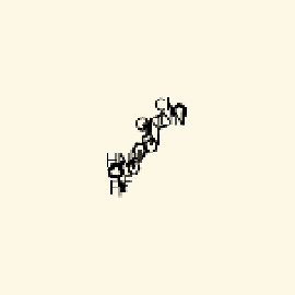 O=C(Nc1cccc(C(F)(F)F)c1)N1CCC2(CC1)CC(C(=O)N1CCN(c3ncccc3Cl)CC1)=NO2